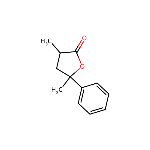 CC1CC(C)(c2ccccc2)OC1=O